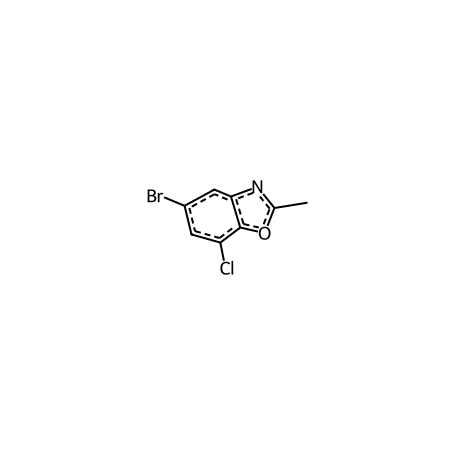 Cc1nc2cc(Br)cc(Cl)c2o1